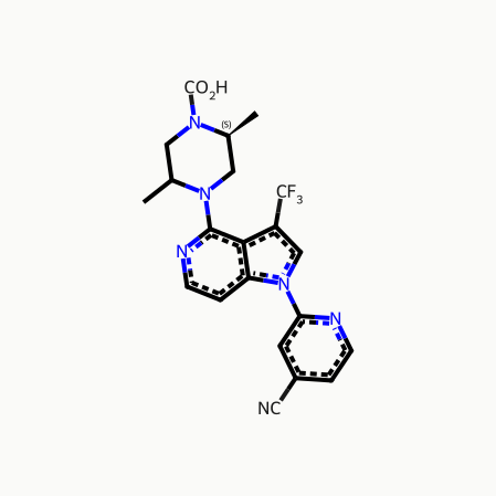 CC1CN(C(=O)O)[C@@H](C)CN1c1nccc2c1c(C(F)(F)F)cn2-c1cc(C#N)ccn1